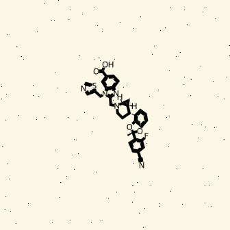 C[C@]1(c2ccc(C#N)cc2F)Oc2cccc([C@@H]3CCN(Cc4nc5ccc(C(=O)O)cc5n4Cc4cncs4)[C@H]4C[C@@H]34)c2O1